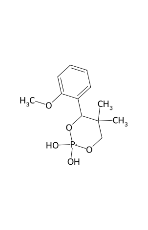 COc1ccccc1C1O[P](O)(O)OCC1(C)C